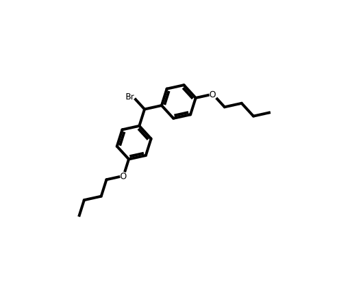 CCCCOc1ccc(C(Br)c2ccc(OCCCC)cc2)cc1